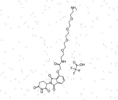 NCCOCCOCCOCCOCCNC(=O)COc1cccc2c1C(=O)N(C1CCC(=O)NC1=O)C2=O.O=C(O)C(F)(F)F